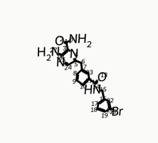 NC(=O)c1nc(Cc2cccc(C(=O)NCc3cccc(Br)c3)c2)cnc1N